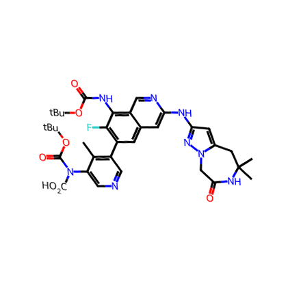 Cc1c(-c2cc3cc(Nc4cc5n(n4)CC(=O)NC(C)(C)C5)ncc3c(NC(=O)OC(C)(C)C)c2F)cncc1N(C(=O)O)C(=O)OC(C)(C)C